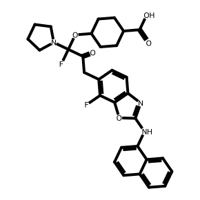 O=C(O)C1CCC(OC(F)(C(=O)Cc2ccc3nc(Nc4cccc5ccccc45)oc3c2F)N2CCCC2)CC1